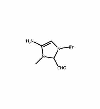 CC(C)N1C=C(N)N(C)C1C=O